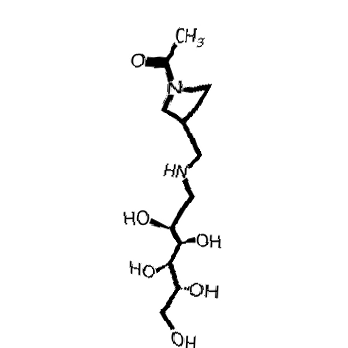 CC(=O)N1CC(CNC[C@H](O)[C@@H](O)[C@H](O)[C@H](O)CO)C1